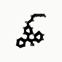 CC/C(=C(\c1ccccc1)c1ccc(OCCN(C)O)cc1)c1ccccc1